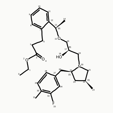 CCOC(=O)CCc1ccccc1[C@@H](C)OC[C@H](O)CN1C[C@@H](C)C[C@H]1Cc1ccc(C)c(F)c1